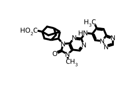 Cc1cc2ncnn2cc1Nc1ncc2c(n1)n(C1C3CC4CC(C(=O)O)(C3)CC41)c(=O)n2C